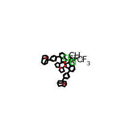 C[SiH](CCC(F)(F)F)[Zr]([Cl])([Cl])([CH]1C(CC2CCCC2)=Cc2c(-c3ccc(C45CC6CC(CC(C6)C4)C5)cc3)cccc21)[CH]1C(CC2CCCC2)=Cc2c(-c3ccc(C45CC6CC(CC(C6)C4)C5)cc3)cccc21